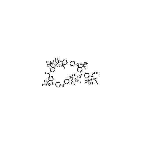 CCC(C)(C)Sc1ccc(Sc2ccc(Sc3ccc(C(=O)c4ccc(C(CC)(CC)C(C)(CC)Oc5ccc(-c6ccc(Oc7ccc(C(=O)c8ccc(C(C)(CC)CC)c(S(=O)(=O)O)c8)cc7S(=O)(=O)O)cc6)cc5)c(S(=O)(=O)O)c4)cc3S(=O)(=O)O)cc2)cc1